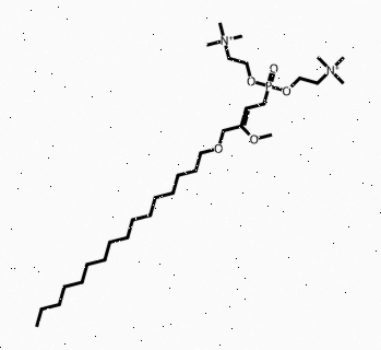 CCCCCCCCCCCCCCCCOCC(=CCP(=O)(OCC[N+](C)(C)C)OCC[N+](C)(C)C)OC